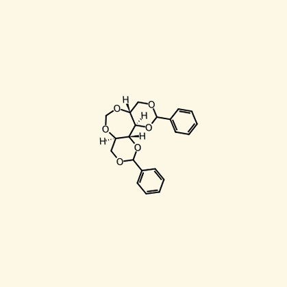 c1ccc(C2OC[C@H]3OCO[C@@H]4COC(c5ccccc5)O[C@H]4[C@@H]3O2)cc1